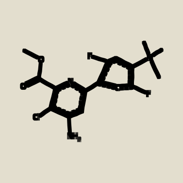 COC(=O)c1nc(-c2cc(F)c([Si](C)(C)C)cc2F)cc(N)c1Cl